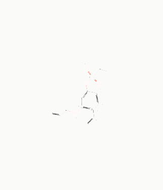 C=CCOc1cc(OS(=O)(=O)CF)ccc1C=C